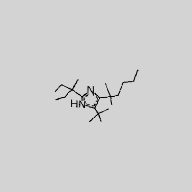 CCCCC(C)(C)c1nc(C(C)(CC)CC)[nH]c1C(C)(C)C